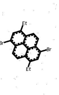 CCc1cc(Br)c2ccc3c(CC)cc(Br)c4ccc1c2c43